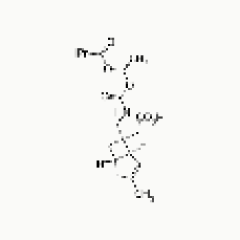 CC1=C[C@H]2[C@H](C1)C[C@@]2(CNC(=O)O[C@H](C)OC(=O)C(C)C)CC(=O)O